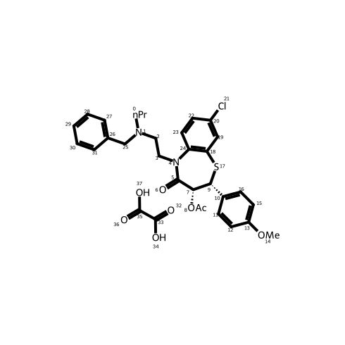 CCCN(CCN1C(=O)[C@@H](OC(C)=O)[C@@H](c2ccc(OC)cc2)Sc2cc(Cl)ccc21)Cc1ccccc1.O=C(O)C(=O)O